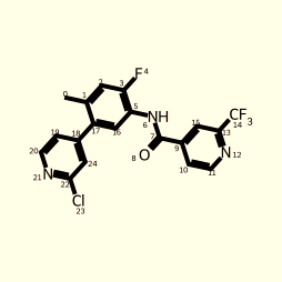 Cc1cc(F)c(NC(=O)c2ccnc(C(F)(F)F)c2)cc1-c1ccnc(Cl)c1